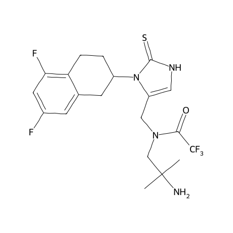 CC(C)(N)CN(Cc1c[nH]c(=S)n1C1CCc2c(F)cc(F)cc2C1)C(=O)C(F)(F)F